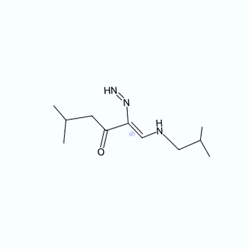 CC(C)CN/C=C(\N=N)C(=O)CC(C)C